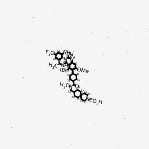 COc1cc2nc(C)nc(N[C@H](C)c3cc(N)cc(C(F)(F)F)c3)c2c(C(C)(C)C)c1C1CCC(C(=O)N(C)CC2CCC3(CC2)CCN(C(=O)O)CC3)CC1